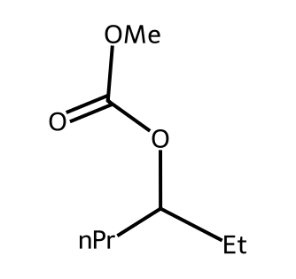 [CH2]OC(=O)OC(CC)CCC